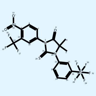 CC1(C)C(=O)N(c2ccc([N+](=O)[O-])c(C(F)(F)F)c2)C(=S)N1c1cccc(S(F)(F)(F)(F)F)c1